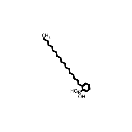 CCCCCCCCCCCCCCCCCCc1ccccc1B(O)O